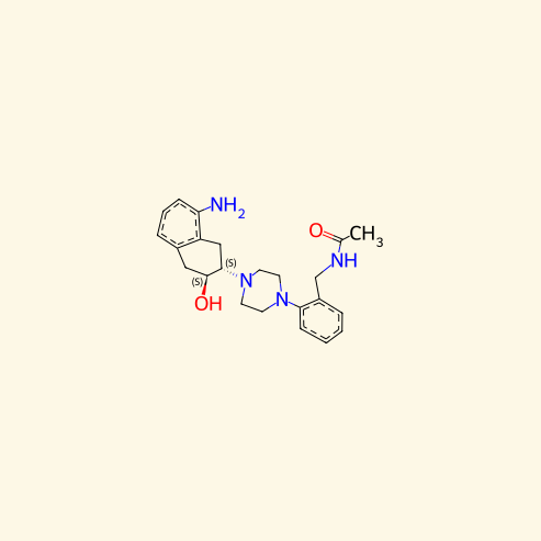 CC(=O)NCc1ccccc1N1CCN([C@H]2Cc3c(N)cccc3C[C@@H]2O)CC1